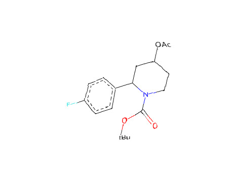 CC(=O)OC1CCN(C(=O)OC(C)(C)C)C(c2ccc(F)cc2)C1